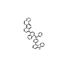 c1ccc(N(c2ccc(-c3cccc4sc5ccccc5c34)cc2)c2ccc(-c3cccc4c3ccc3c5ccccc5ccc43)c3ccccc23)cc1